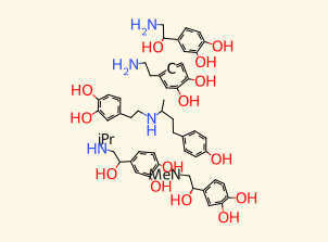 CC(C)NCC(O)c1ccc(O)c(O)c1.CC(CCc1ccc(O)cc1)NCCc1ccc(O)c(O)c1.CNC[C@H](O)c1ccc(O)c(O)c1.NCCc1ccc(O)c(O)c1.NC[C@H](O)c1ccc(O)c(O)c1